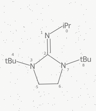 CC(C)N=C1N(C(C)(C)C)CCN1C(C)(C)C